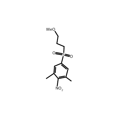 COCCCS(=O)(=O)c1cc(C)c([N+](=O)[O-])c(C)c1